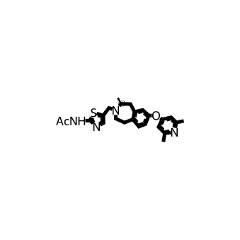 CC(=O)Nc1ncc(CN2CCc3ccc(Oc4cc(C)nc(C)c4)cc3C[C@@H]2C)s1